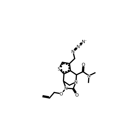 C=CCON1C(=O)N2CC1c1scc(CN=[N+]=[N-])c1C2C(=O)N(C)C